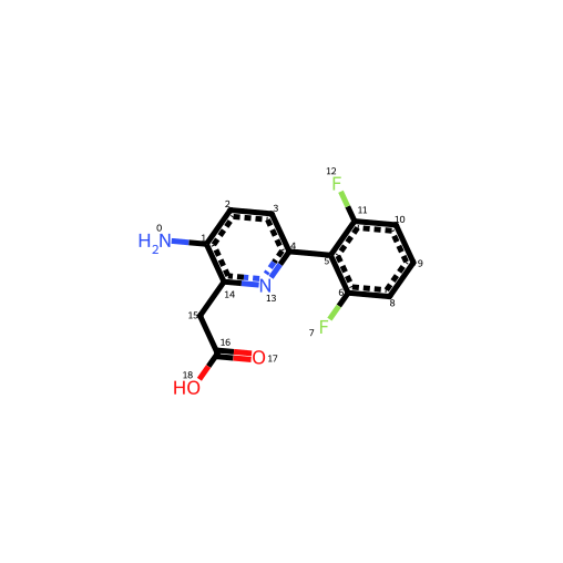 Nc1ccc(-c2c(F)cccc2F)nc1CC(=O)O